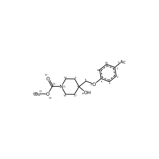 CC(=O)c1ccc(OCC2(O)CCN(C(=O)OC(C)(C)C)CC2)cc1